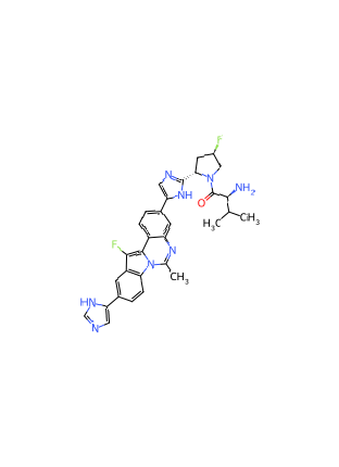 Cc1nc2cc(-c3cnc([C@@H]4C[C@@H](F)CN4C(=O)[C@@H](N)C(C)C)[nH]3)ccc2c2c(F)c3cc(-c4cnc[nH]4)ccc3n12